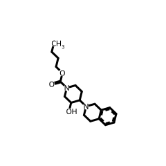 CCCCOC(=O)N1CCC(N2CCc3ccccc3C2)C(O)C1